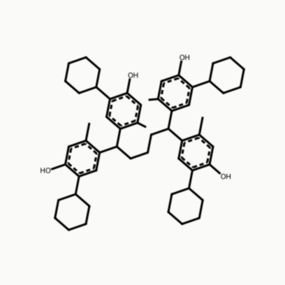 Cc1cc(O)c(C2CCCCC2)cc1C(CCCC(c1cc(C2CCCCC2)c(O)cc1C)c1cc(C2CCCCC2)c(O)cc1C)c1cc(C2CCCCC2)c(O)cc1C